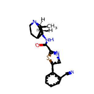 C[C@H]1[C@H](NC(=O)c2ncc(-c3ccccc3C#N)s2)C2CCN1CC2